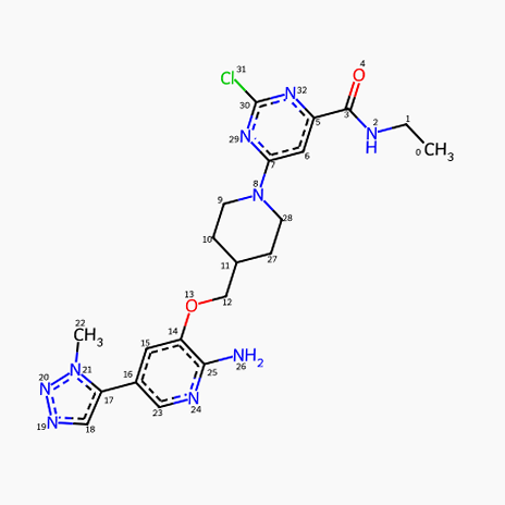 CCNC(=O)c1cc(N2CCC(COc3cc(-c4cnnn4C)cnc3N)CC2)nc(Cl)n1